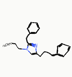 CCCCCCCCCCCCn1cc(CCCc2ccccc2)nc1Cc1ccccc1